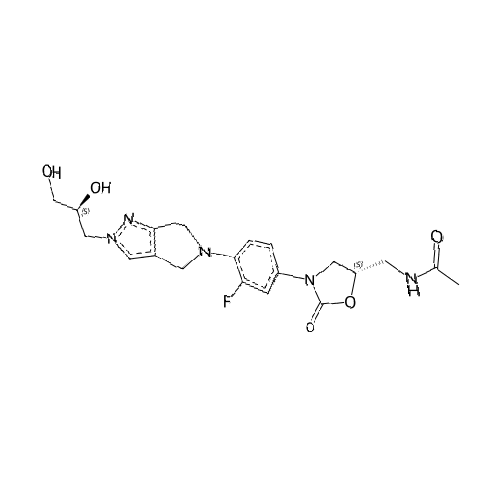 CC(=O)NC[C@H]1CN(c2ccc(N3Cc4cn(C[C@H](O)CO)nc4C3)c(F)c2)C(=O)O1